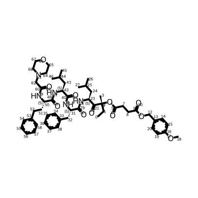 CC[C@@](C)(OC(=O)CCC(=O)OCc1ccc(OC)cc1)C(=O)[C@H](CC(C)C)NC(=O)[C@H](Cc1ccccc1)NC(=O)[C@H](CC(C)C)NC(=O)[C@H](CCc1ccccc1)NC(=O)CN1CCOCC1